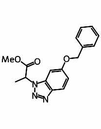 COC(=O)C(C)n1nnc2ccc(OCc3ccccc3)cc21